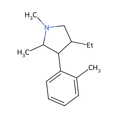 CCC1CN(C)C(C)C1c1ccccc1C